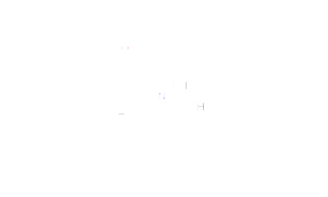 CC1CCCCC(C)C1N(C)CCCO